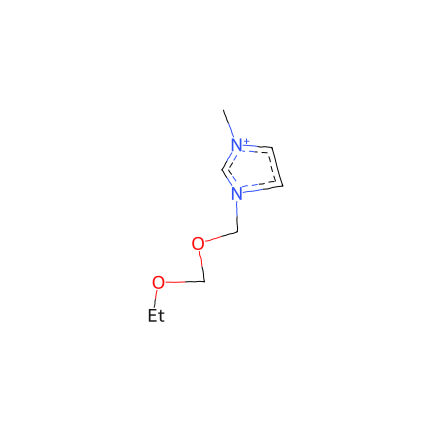 CCOCOCn1cc[n+](C)c1